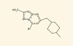 CC1CCC(Cc2cc(C(C)C)n3nc(C(=O)O)cc3n2)CC1